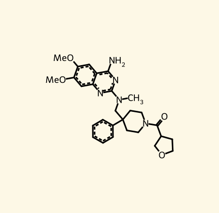 COc1cc2nc(N(C)CC3(c4ccccc4)CCN(C(=O)C4CCOC4)CC3)nc(N)c2cc1OC